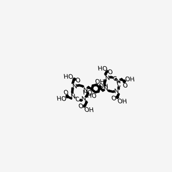 O=C(O)CN1CCN(CC(=O)O)CCN(CC2(O)CC(O)C(O)(CN3CCN(CC(=O)O)CCN(CC(=O)O)CCN(CC(=O)O)CC3)CC2O)CCN(CC(=O)O)CC1